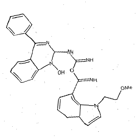 COCCN1C=CC2CC=CC(C(=N)OC(=N)NC3N=C(c4ccccc4)c4ccccc4N3O)=C21